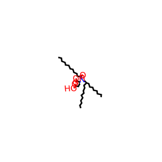 CCCCCCCCCCCC(=O)N(CC(CCCCCCCC)CCCCCCCCCC)[C@@H](CCC(=O)O)C(=O)O